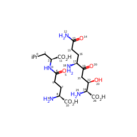 CC(C)C[C@H](NC(=O)CC[C@H](N)C(=O)O)C(=O)O.NC(=O)CC[C@H](N)C(=O)C[C@@H](O)[C@H](N)C(=O)O